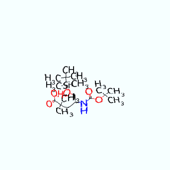 CC(C)(C)OC(=O)N[C@H](CO[Si](C)(C)C(C)(C)C)CC(C)(C)C(=O)O